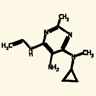 C=CNc1nc(C)nc(N(C)C2CC2)c1N